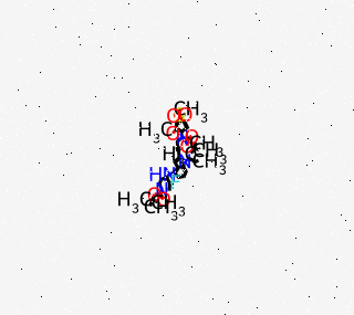 CCCn1c(C#CCN(C(=O)OC(C)(C)C)c2ccc(S(C)(=O)=O)cc2OC)cc2c(NC3CCN(C(=O)OC(C)(C)C)CC3F)cccc21